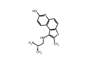 Cc1sc2ccc3nc(O)ccc3c2c1NC[C@@H](C)N